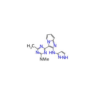 CNc1nc(C)nc(-c2c(Nc3cc[nH]n3)nc3ccccn23)n1